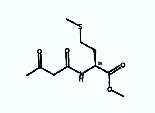 COC(=O)[C@H](CCSC)NC(=O)CC(C)=O